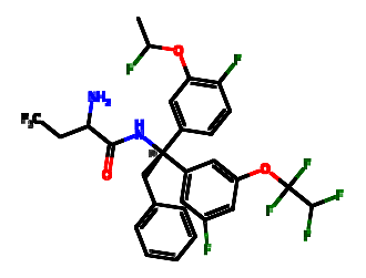 CC(F)Oc1cc([C@@](Cc2ccccc2)(NC(=O)C(N)CC(F)(F)F)c2cc(F)cc(OC(F)(F)C(F)F)c2)ccc1F